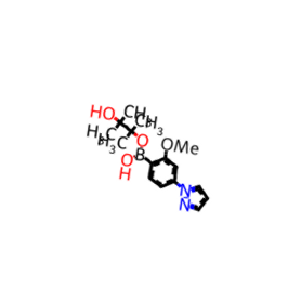 COc1cc(-n2cccn2)ccc1B(O)OC(C)(C)C(C)(C)O